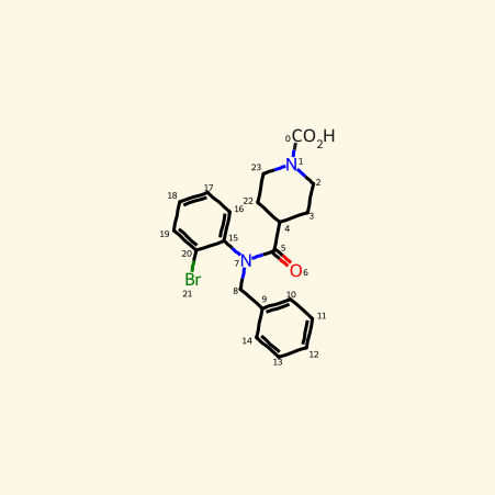 O=C(O)N1CCC(C(=O)N(Cc2ccccc2)c2ccccc2Br)CC1